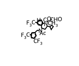 CC(=O)N(Cc1cc(C(F)(F)F)cc(C(F)(F)F)c1)C1CC(C2CCC2)N(C(C)(C)OC=O)c2ccc(C(F)(F)F)cc21